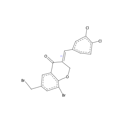 O=C1/C(=C/c2ccc(Cl)c(Cl)c2)COc2c(Br)cc(CBr)cc21